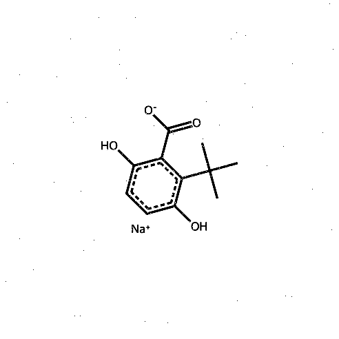 CC(C)(C)c1c(O)ccc(O)c1C(=O)[O-].[Na+]